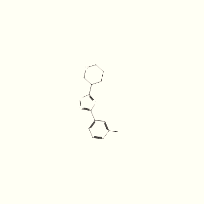 FC(F)(F)c1cccc(-c2noc(C3CCCNC3)n2)c1